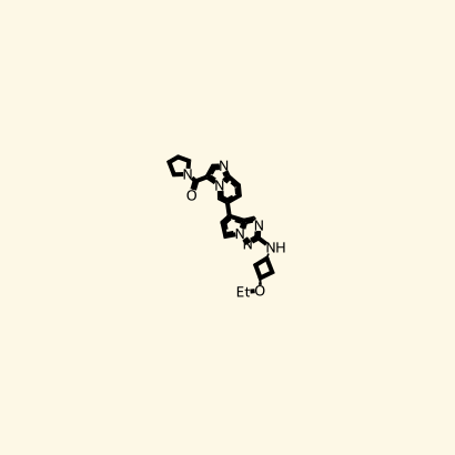 CCO[C@H]1C[C@H](Nc2ncc3c(-c4ccc5ncc(C(=O)N6CCCC6)n5c4)ccn3n2)C1